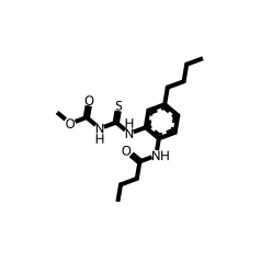 CCCCc1ccc(NC(=O)CCC)c(NC(=S)NC(=O)OC)c1